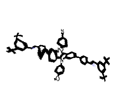 COc1ccc(-n2c3cc(-c4ccc(/C=C/c5cc(C(C)(C)C)cc(C(C)(C)C)c5)cc4)ccc3c3c2c2ccc(-c4ccc(/C=C/c5cc(C(C)(C)C)cc(C(C)(C)C)c5)cc4)cc2n3-c2ccc(C#N)cc2)cc1